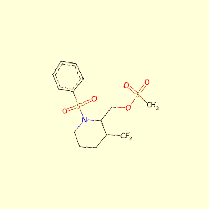 CS(=O)(=O)OCC1C(C(F)(F)F)CCCN1S(=O)(=O)c1ccccc1